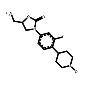 NCC1CN(c2ccc(C3CC[S+]([O-])CC3)c(F)c2)C(=O)O1